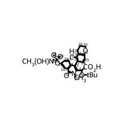 Cc1c(-c2c(C(OC(C)(C)C)C(=O)O)n(C)c(=O)c3cc(OS(=O)(=O)N(C)O)ccc23)ccc2c1CCCO2